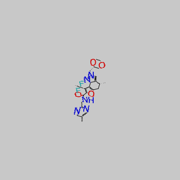 Cc1cnc(CNC(=O)c2oc3c(c2C(C)(F)F)-c2nn(C[C@H]4COCCO4)cc2[C@H](C)C3)nc1